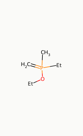 C=P(C)(CC)OCC